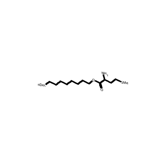 CCCCCCCCCCCCCCCCCCOC(=O)C(N)CCSC